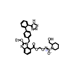 CCOc1nc2cccc(C(=O)OCO/N=[N+](\[O-])N3CCCCC3CO)c2n1Cc1ccc(-c2ccccc2-c2nnn[nH]2)cc1